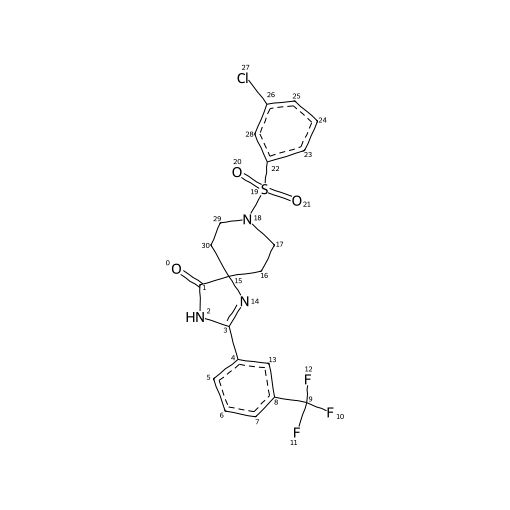 O=C1NC(c2cccc(C(F)(F)F)c2)=NC12CCN(S(=O)(=O)c1cccc(Cl)c1)CC2